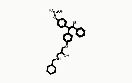 CCC(=C(c1ccc(OCC(O)CNCC2CCCCC2)cc1)c1ccc(OP(O)O)cc1)c1ccccc1